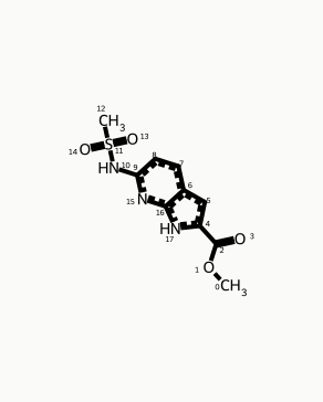 COC(=O)c1cc2ccc(NS(C)(=O)=O)nc2[nH]1